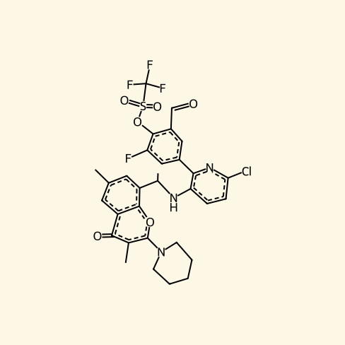 Cc1cc(C(C)Nc2ccc(Cl)nc2-c2cc(F)c(OS(=O)(=O)C(F)(F)F)c(C=O)c2)c2oc(N3CCCCC3)c(C)c(=O)c2c1